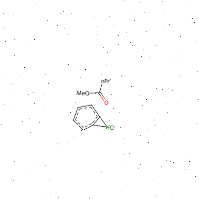 CCCC(=O)OC.Cl.c1ccc2c(c1)C2